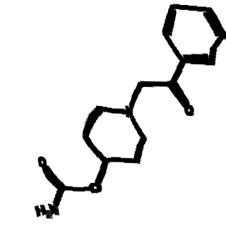 NC(=O)OC1CCN(CC(=O)c2ccccc2)CC1